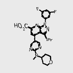 CC(C)c1nn(-c2cc(F)cc(F)c2)c2nc(C(=O)O)cc(-c3cnc(N(C)C4CCOCC4)nc3)c12